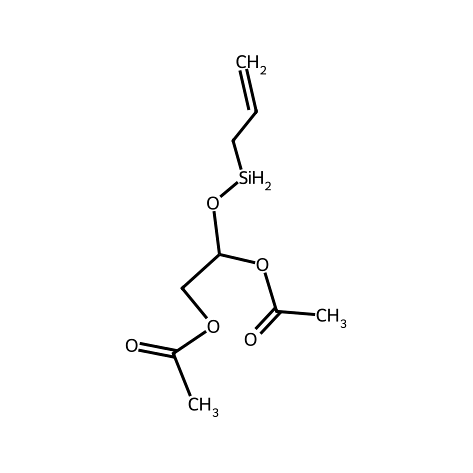 C=CC[SiH2]OC(COC(C)=O)OC(C)=O